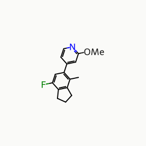 COc1cc(-c2cc(F)c3c(c2C)CCC3)ccn1